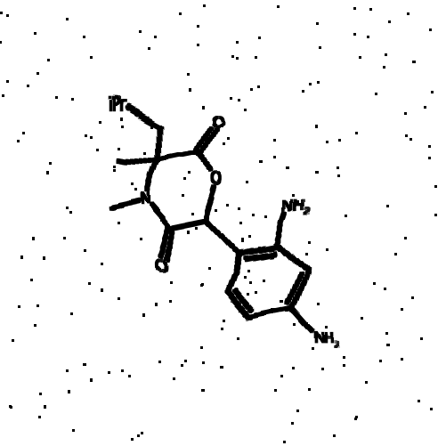 CC(C)CC1(C)C(=O)OC(c2ccc(N)cc2N)C(=O)N1C